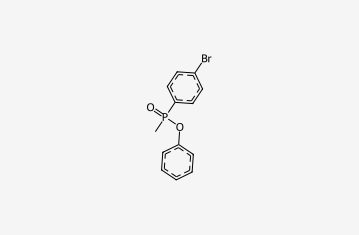 CP(=O)(Oc1ccccc1)c1ccc(Br)cc1